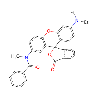 CCN(CC)c1ccc2c(c1)Oc1ccc(N(C)C(=O)c3ccccc3)cc1C21OC(=O)c2ccccc21